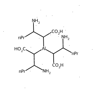 CCCC(N)[CH](C(=O)O)[Al]([CH](C(=O)O)C(N)CCC)[CH](C(=O)O)C(N)CCC